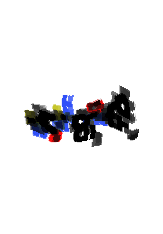 Cc1cc(Nc2nn3c(=O)c4ncsc4cc3s2)cc(C(=O)NC(C)Cc2ccccc2)c1